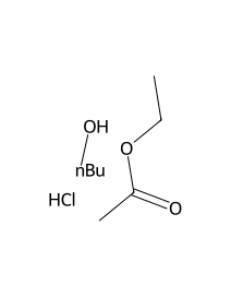 CCCCO.CCOC(C)=O.Cl